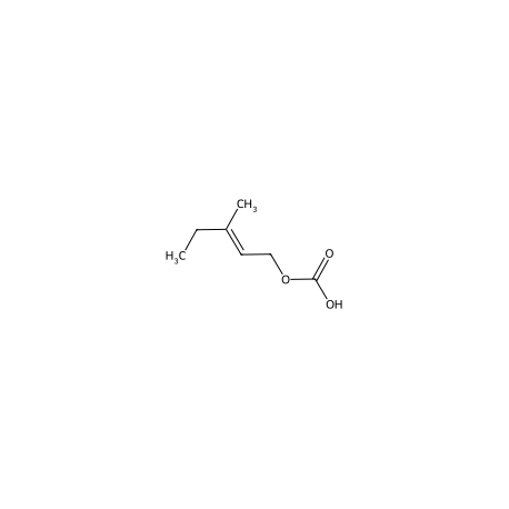 CCC(C)=CCOC(=O)O